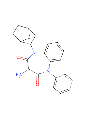 NC1C(=O)N(c2ccccc2)c2ccccc2N(C2CC3CCC2C3)C1=O